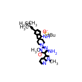 Cn1c(N2CCC3(CC2)Cc2cc(C#C[Si](C)(C)C)ccc2[C@H]3N[S@+]([O-])C(C)(C)C)nc(N)c(-c2cn(C)c3ncccc23)c1=O